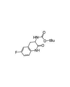 CC(C)(C)OC(=O)NC1Cc2cc(F)ccc2NC1=O